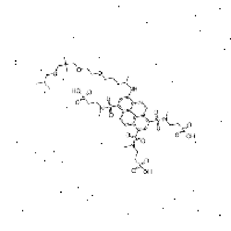 CC(C)COCC(C)(C)COCCOCCCC(C)Nc1cc(S(=O)(=O)N(C)CCS(=O)(=O)O)c2ccc3c(S(=O)(=O)N(C)CCS(=O)(=O)O)cc(S(=O)(=O)N(C)CCS(=O)(=O)O)c4ccc1c2c43